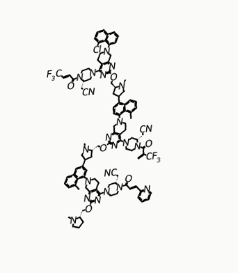 C=C(C(=O)N1CCN(c2nc(OC[C@@H]3CC(c4cc(N5CCc6c(nc(OC[C@@H]7CCCN7C)nc6N6CCN(C(=O)/C=C/c7ccccn7)[C@@H](CC#N)C6)C5)c5c(C)cccc5c4)CN3C)nc3c2CCN(c2ccc(C4C[C@@H](COc5nc6c(c(N7CCN(C(=O)/C=C/C(F)(F)F)[C@@H](CC#N)C7)n5)CCN(c5cccc7cccc(Cl)c57)C6)N(C)C4)c4cccc(C)c24)C3)C[C@@H]1CC#N)C(F)(F)F